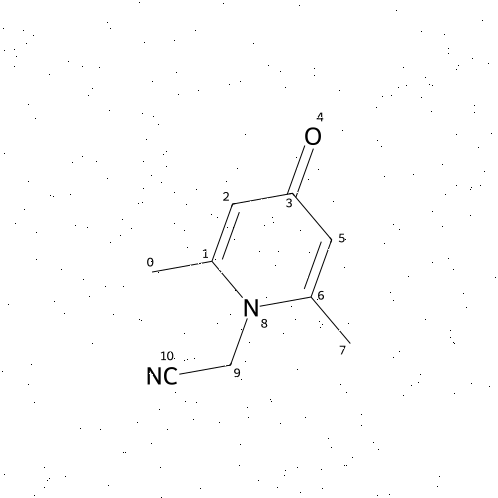 Cc1cc(=O)cc(C)n1CC#N